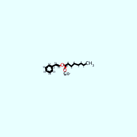 CCCCCCCC(=O)OC=Cc1ccccc1.[Co]